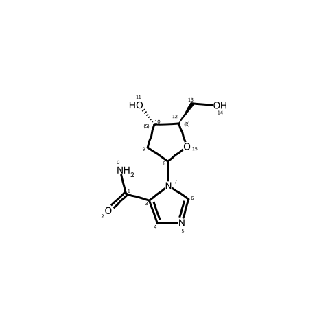 NC(=O)c1cncn1C1C[C@H](O)[C@@H](CO)O1